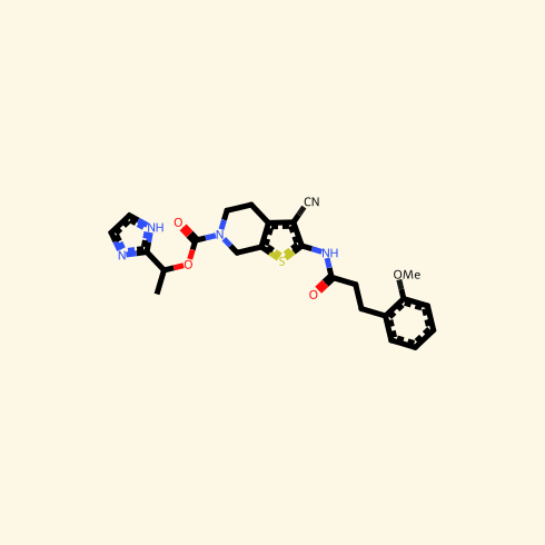 COc1ccccc1CCC(=O)Nc1sc2c(c1C#N)CCN(C(=O)OC(C)c1ncc[nH]1)C2